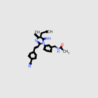 C#CCC1C(=N)N(c2cccc(CNC(C)=O)c2)C(/C=C/c2ccc(C#N)cc2)=NC/1=C/C